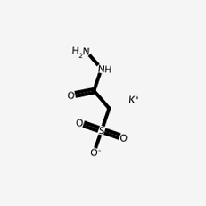 NNC(=O)CS(=O)(=O)[O-].[K+]